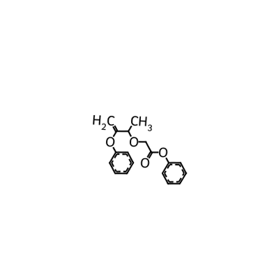 C=C(Oc1ccccc1)C(C)OCC(=O)Oc1ccccc1